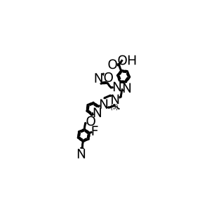 C[C@H]1CN(c2cccc(OCc3ccc(C#N)cc3F)n2)CCN1Cc1nc2ccc(C(=O)O)cc2n1Cc1cnco1